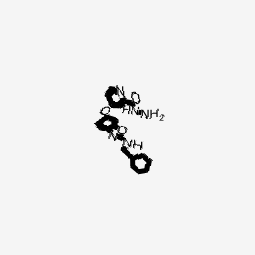 NNC(=O)c1cc(Oc2ccc3nc(NCC4CCCCC4)oc3c2)ccn1